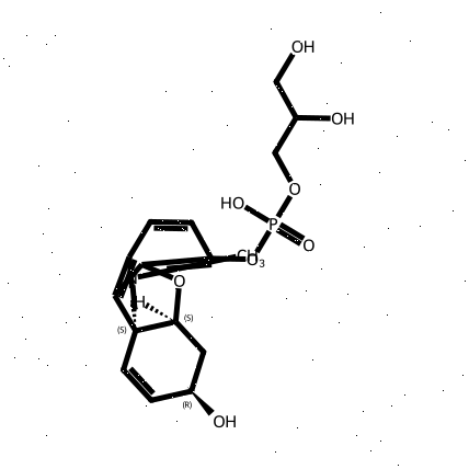 CN1CC[C@@]23C=C[C@H](O)C[C@@H]2Oc2c(OP(=O)(O)OCC(O)CO)ccc(c23)C1